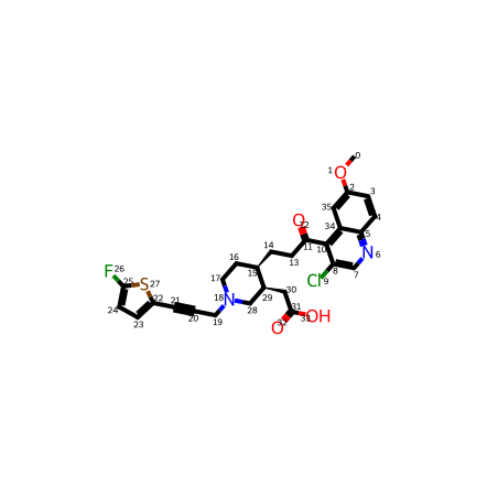 COc1ccc2ncc(Cl)c(C(=O)CC[C@@H]3CCN(CC#Cc4ccc(F)s4)C[C@@H]3CC(=O)O)c2c1